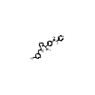 NC(c1ccc(C(=O)Nc2ccncc2)cc1)C1CCCN1C(=O)Cc1cccc(Cl)c1